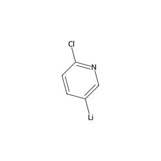 [Li][c]1ccc(Cl)nc1